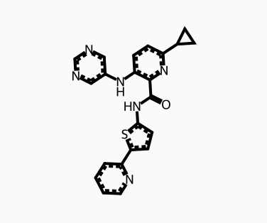 O=C(Nc1ccc(-c2ccccn2)s1)c1nc(C2CC2)ccc1Nc1cncnc1